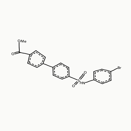 COC(=O)c1ccc(-c2ccc(S(=O)(=O)Nc3ccc(Br)cc3)cc2)cc1